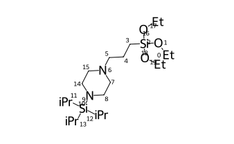 CCO[Si](CCCN1CCN([Si](C(C)C)(C(C)C)C(C)C)CC1)(OCC)OCC